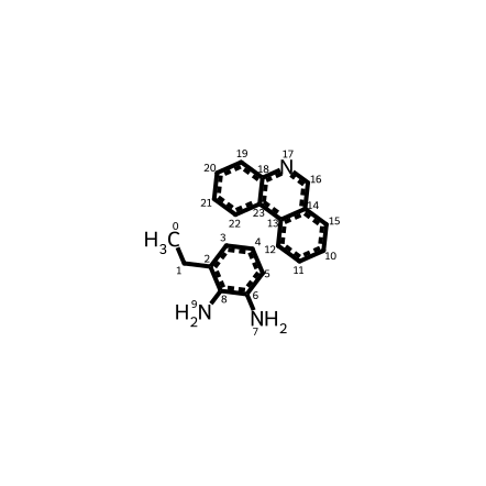 CCc1cccc(N)c1N.c1ccc2c(c1)cnc1ccccc12